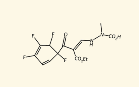 CCOC(=O)/C(=C\NN(C)C(=O)O)C(=O)C1(F)C=CC(F)=C(F)C1F